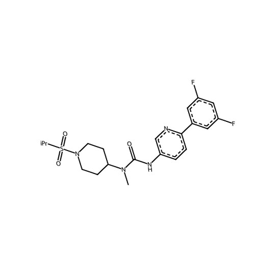 CC(C)S(=O)(=O)N1CCC(N(C)C(=O)Nc2ccc(-c3cc(F)cc(F)c3)nc2)CC1